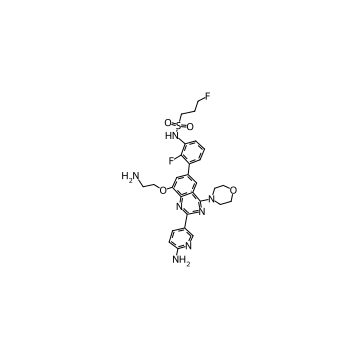 NCCOc1cc(-c2cccc(NS(=O)(=O)CCCF)c2F)cc2c(N3CCOCC3)nc(-c3ccc(N)nc3)nc12